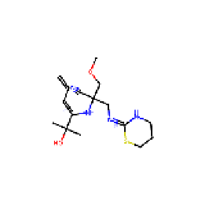 C=C/C=C(\NC(C#N)(C/N=C1\NCCCS1)COC)C(C)(C)O